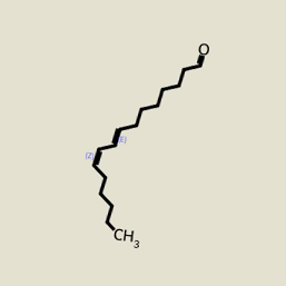 CCCCC/C=C\C=C\CCCCCCC=O